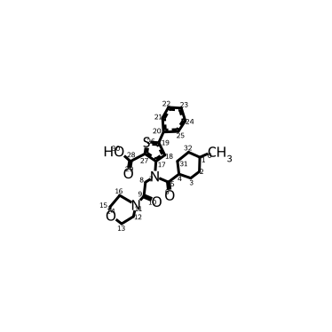 CC1CCC(C(=O)N(CC(=O)N2CCOCC2)c2cc(-c3ccccc3)sc2C(=O)O)CC1